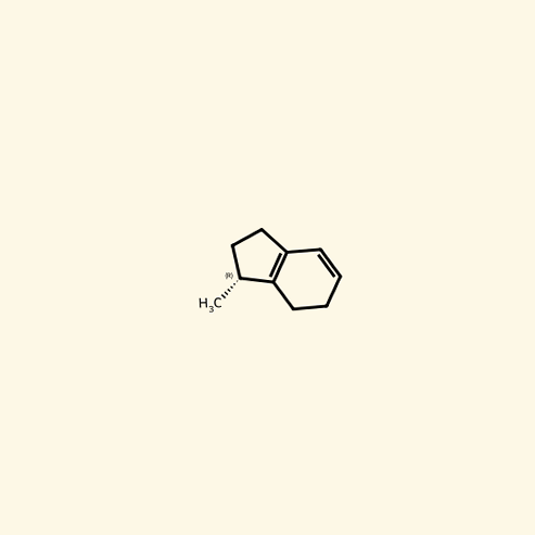 C[C@@H]1CCC2=C1CCC=C2